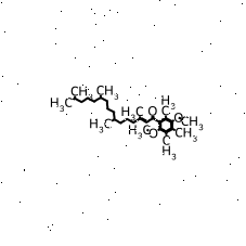 COc1c(C)c(C)c(OC)c(C(=O)/C=C(\C)CCCC(C)CCCC(C)CCCC(C)C)c1C